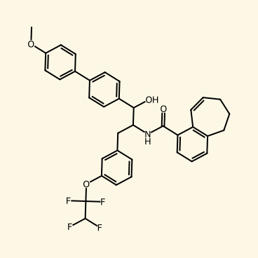 COc1ccc(-c2ccc(C(O)C(Cc3cccc(OC(F)(F)C(F)F)c3)NC(=O)c3cccc4c3C=CCCC4)cc2)cc1